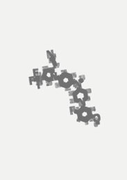 COc1ccc(F)c(N2CCC(N(C)c3ccc(N4C[C@H](C(F)(F)F)C[C@@H]4CC#N)cc3)CC2)c1